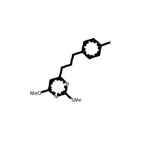 COc1cc(CCCc2ccc(I)cc2)nc(SC)n1